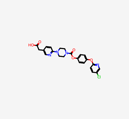 O=C(O)Cc1ccc(N2CCN(C(=O)Oc3ccc(Oc4ccc(Cl)cn4)cc3)CC2)nc1